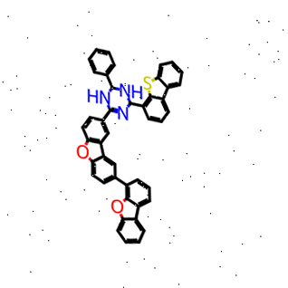 c1ccc(C2NC(c3ccc4oc5ccc(-c6cccc7c6oc6ccccc67)cc5c4c3)=NC(c3cccc4c3sc3ccccc34)N2)cc1